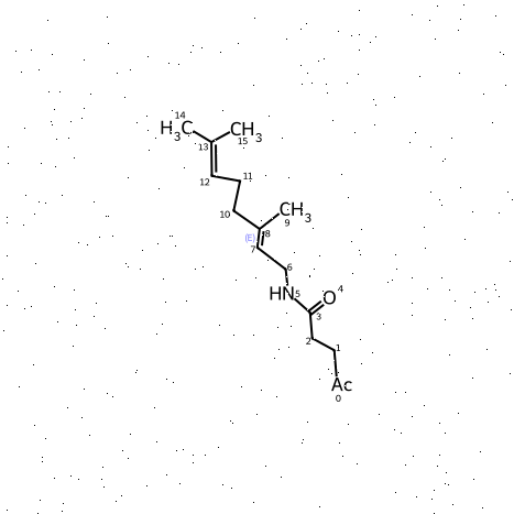 CC(=O)CCC(=O)NC/C=C(\C)CCC=C(C)C